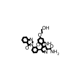 Cc1c(-c2cnc(C(N)=O)c3[nH]c4cc(OCCO)ccc4c23)cccc1-n1cnc2ccccc2c1=O